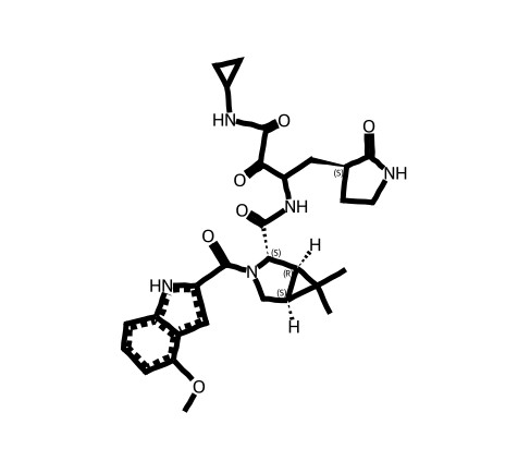 COc1cccc2[nH]c(C(=O)N3C[C@H]4[C@@H]([C@H]3C(=O)NC(C[C@@H]3CCNC3=O)C(=O)C(=O)NC3CC3)C4(C)C)cc12